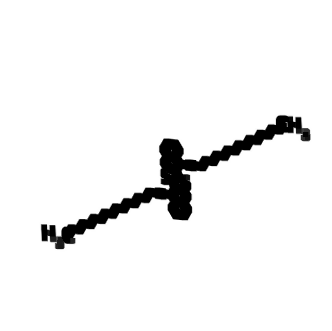 CCCCCCCCCCCCCCCCC#Cc1c2ccccc2cc2sc3c(sc4cc5ccccc5c(C#CCCCCCCCCCCCCCCCC)c43)c12